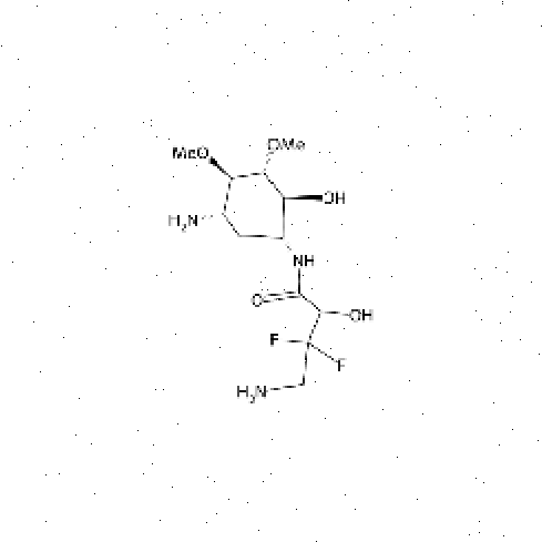 CO[C@@H]1[C@@H](O)[C@H](NC(=O)C(O)C(F)(F)CN)C[C@H](N)[C@H]1OC